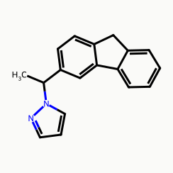 CC(c1ccc2c(c1)-c1ccccc1C2)n1cccn1